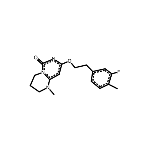 Cc1ccc(CCOc2cc3n(c(=O)n2)CCCN3C)cc1F